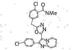 CNC(=O)c1cc(Cc2nnc(-c3c(-c4ccc(Cl)cc4)nc4ccccn34)o2)ccc1Cl